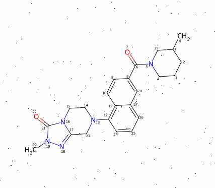 CC1CCCN(C(=O)c2ccc3c(N4CCn5c(nn(C)c5=O)C4)cccc3c2)C1